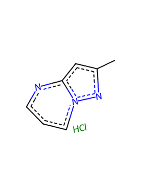 Cc1cc2ncccn2n1.Cl